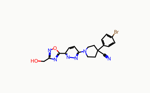 N#CC1(c2ccc(Br)cc2)CCN(c2ccc(-c3nc(CO)no3)nn2)CC1